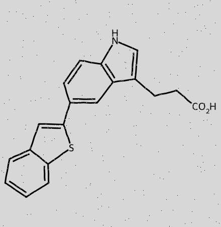 O=C(O)CCc1c[nH]c2ccc(-c3cc4ccccc4s3)cc12